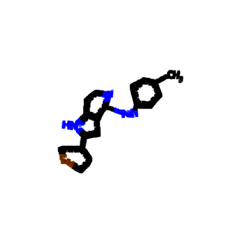 Cc1ccc(Nc2nccc3[nH]c(-c4ccsc4)cc23)cc1